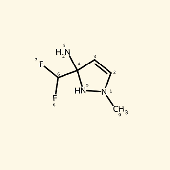 CN1C=CC(N)(C(F)F)N1